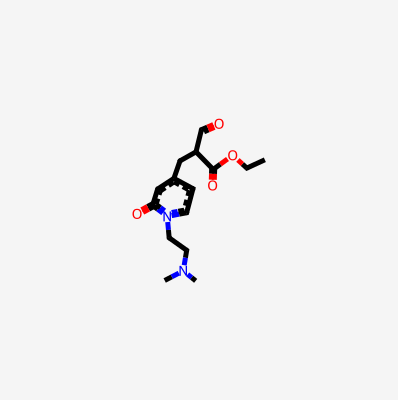 CCOC(=O)C(C=O)Cc1ccn(CCN(C)C)c(=O)c1